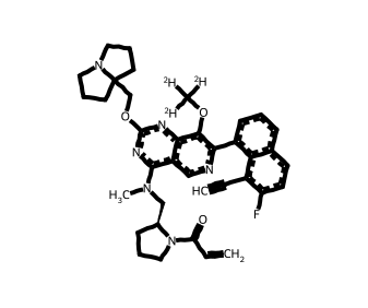 [2H]C([2H])([2H])Oc1c(-c2cccc3ccc(F)c(C#C)c23)ncc2c(N(C)C[C@@H]3CCCN3C(=O)C=C)nc(OCC34CCCN3CCC4)nc12